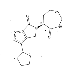 O=C1NCCCC[C@@H]1N1Cc2c(C3CCCC3)csc2C1=O